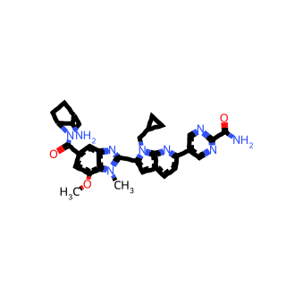 COc1cc(C(=O)N2CC3CCC2C3N)cc2nc(-c3cc4ccc(-c5cnc(C(N)=O)nc5)nc4n3CC3CC3)n(C)c12